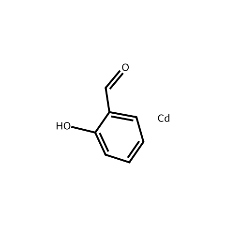 O=Cc1ccccc1O.[Cd]